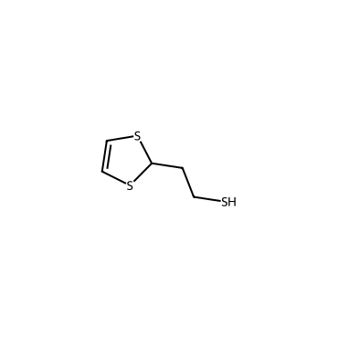 SCCC1SC=CS1